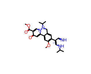 COC(=O)c1cn2c(cc1=O)-c1cc(OC)c(/C(C=N)=C/NC(C)C)cc1CN2C(C)C